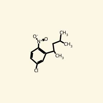 CC(C)CC(C)c1cc(Cl)ccc1[N+](=O)[O-]